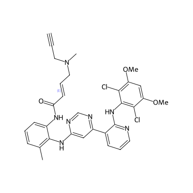 C#CCN(C)C/C=C/C(=O)Nc1cccc(C)c1Nc1cc(-c2cccnc2Nc2c(Cl)c(OC)cc(OC)c2Cl)ncn1